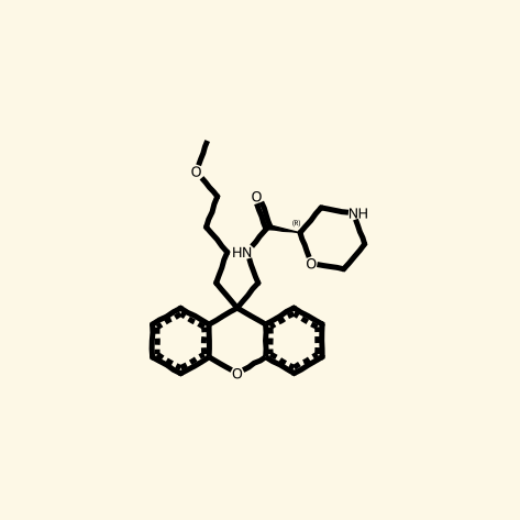 COCCCCC1(CNC(=O)[C@H]2CNCCO2)c2ccccc2Oc2ccccc21